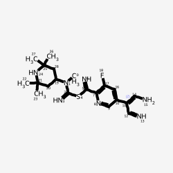 CN(C(=N)SC(=N)c1ncc(/C(C=N)=C/N)cc1F)C1CC(C)(C)NC(C)(C)C1